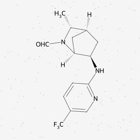 C[C@@H]1[C@H]2C[C@@H](Nc3ccc(C(F)(F)F)cn3)[C@H](C2)N1C=O